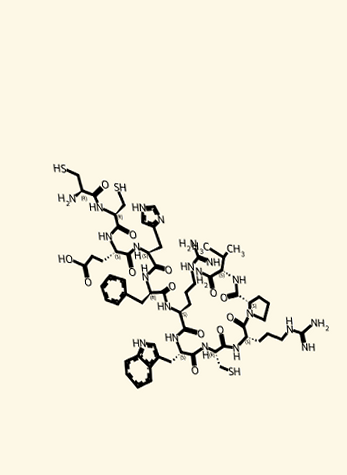 CC(C)[C@H](NC(=O)[C@@H]1CCCN1C(=O)[C@H](CCCNC(=N)N)NC(=O)[C@H](CS)NC(=O)[C@H](Cc1c[nH]c2ccccc12)NC(=O)[C@H](CCCNC(=N)N)NC(=O)[C@@H](Cc1ccccc1)NC(=O)[C@H](Cc1c[nH]cn1)NC(=O)[C@H](CCC(=O)O)NC(=O)[C@H](CS)NC(=O)[C@@H](N)CS)C(N)=O